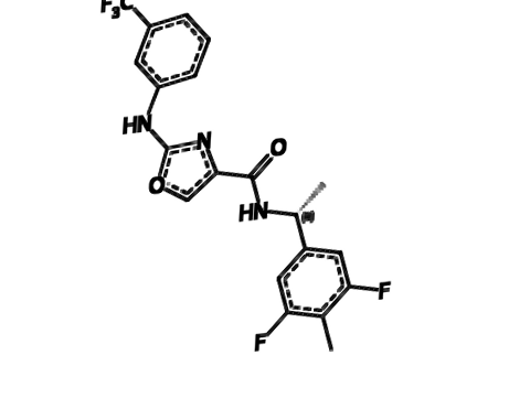 Cc1c(F)cc([C@@H](C)NC(=O)c2coc(Nc3cccc(C(F)(F)F)c3)n2)cc1F